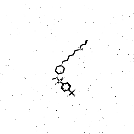 C=CCNCCCCC[C@H]1CC[C@H](N(C)S(=O)(=O)c2ccc(C(F)(F)F)cc2)CC1